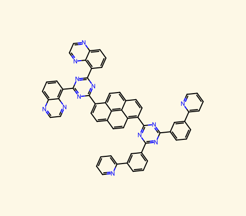 c1ccc(-c2cccc(-c3nc(-c4cccc(-c5ccccn5)c4)nc(-c4ccc5ccc6c(-c7nc(-c8cccc9nccnc89)nc(-c8cccc9nccnc89)n7)ccc7ccc4c5c76)n3)c2)nc1